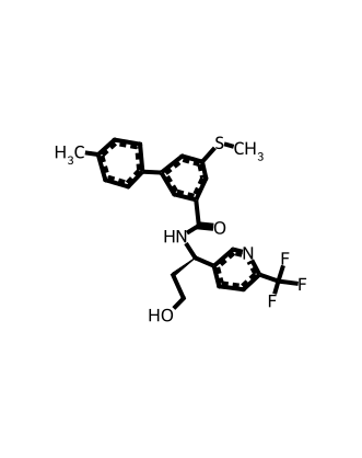 CSc1cc(C(=O)N[C@H](CCO)c2ccc(C(F)(F)F)nc2)cc(-c2ccc(C)cc2)c1